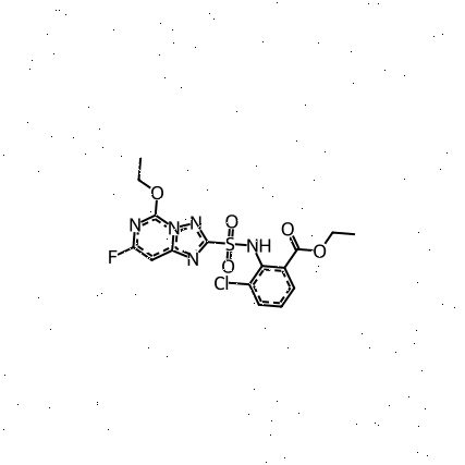 CCOC(=O)c1cccc(Cl)c1NS(=O)(=O)c1nc2cc(F)nc(OCC)n2n1